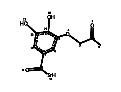 CC(=O)COc1cc([C](=O)[SrH])cc(O)c1O